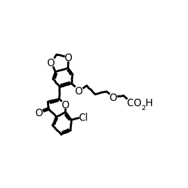 O=C(O)COCCCOc1cc2c(cc1-c1cc(=O)c3cccc(Cl)c3o1)OCO2